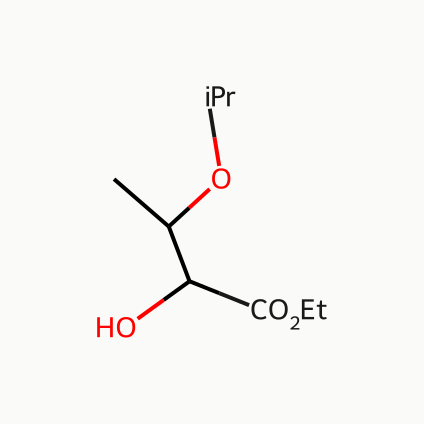 CCOC(=O)C(O)C(C)OC(C)C